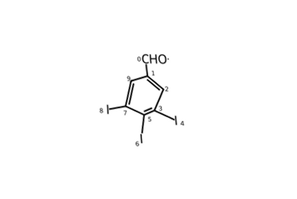 O=[C]c1cc(I)c(I)c(I)c1